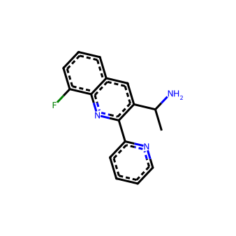 CC(N)c1cc2cccc(F)c2nc1-c1ccccn1